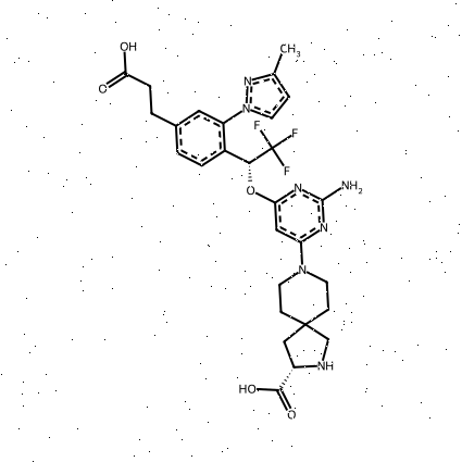 Cc1ccn(-c2cc(CCC(=O)O)ccc2[C@@H](Oc2cc(N3CCC4(CC3)CN[C@H](C(=O)O)C4)nc(N)n2)C(F)(F)F)n1